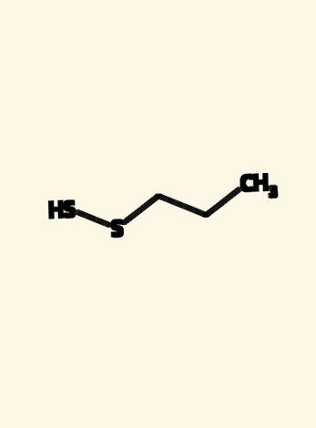 CCCSS